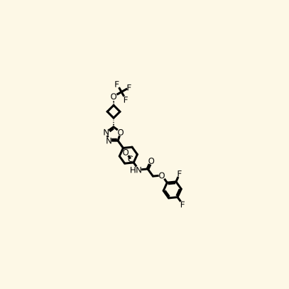 O=C(COc1ccc(F)cc1F)NC12CCC(c3nnc([C@H]4C[C@@H](OC(F)(F)F)C4)o3)(CC1)OC2